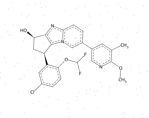 COc1ncc(-c2ccc3nc4c(n3c2)[C@@H](c2cc(Cl)ccc2OC(F)F)C[C@H]4O)cc1C